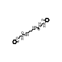 O=C(NCCCCCCNC(=O)NCCOc1ccccc1F)NCCNc1ccccc1F